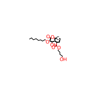 CCCCCCCCOc1c(O)c2c(C(=O)OCCCCO)cccc2oc1=O